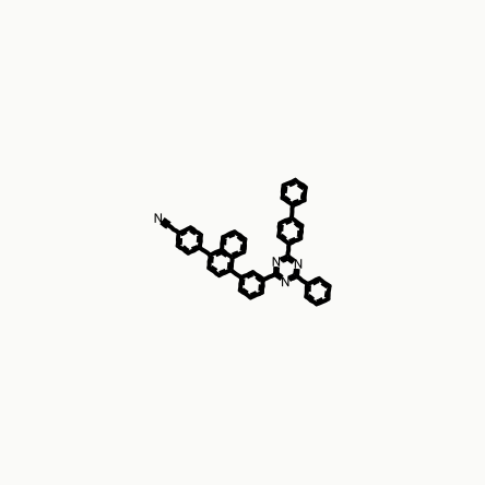 N#Cc1ccc(-c2ccc(-c3cccc(-c4nc(-c5ccccc5)nc(-c5ccc(-c6ccccc6)cc5)n4)c3)c3ccccc23)cc1